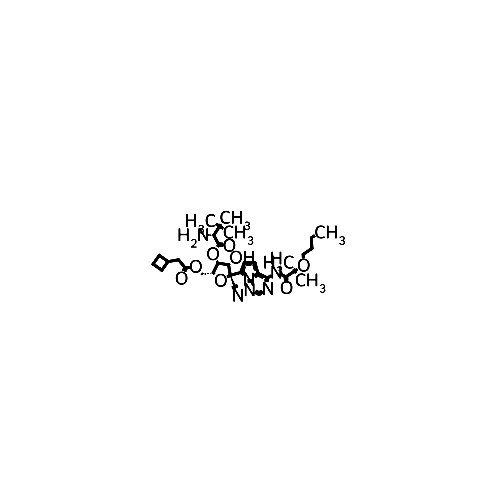 CCCCOC(C)(C)C(=O)Nc1ncnn2c([C@]3(C#N)O[C@H](COC(=O)CC4CCC4)[C@@H](OC(=O)[C@H](N)C(C)(C)C)[C@H]3O)ccc12